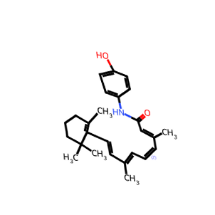 CC(C=CC1=C(C)CCCC1(C)C)=C/C=C\C(C)=CC(=O)Nc1ccc(O)cc1